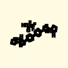 O=C(O)C(F)(F)F.c1cc(-c2cnc([C@@H]3CCCN3)[nH]2)ccc1-c1ccc(-c2cnc([C@@H]3CCCN3)[nH]2)cc1